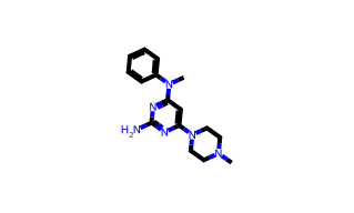 CN1CCN(c2cc(N(C)c3ccccc3)nc(N)n2)CC1